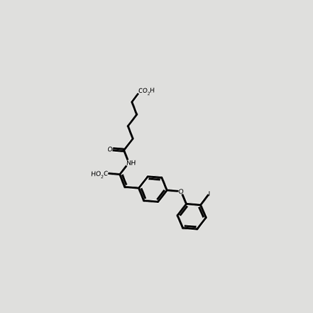 O=C(O)CCCCC(=O)NC(=Cc1ccc(Oc2ccccc2I)cc1)C(=O)O